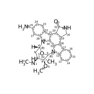 CN[C@H]1C[C@H]2O[C@](C)([C@H]1OC)n1c3ccccc3c3c4c(c5c6ccc(N)cc6n2c5c31)C(=O)NC4